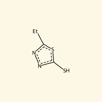 CCc1nnc(S)s1